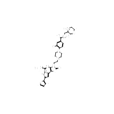 Nc1nc2c(sc(=O)n2CCN2CCN(c3ccc(C(=O)NCC4COCCN4)cc3F)CC2)c2cc(-c3ccco3)nn12